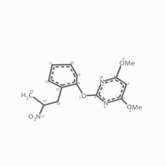 COc1cc(OC)nc(Oc2ccccc2CC(C)[N+](=O)[O-])n1